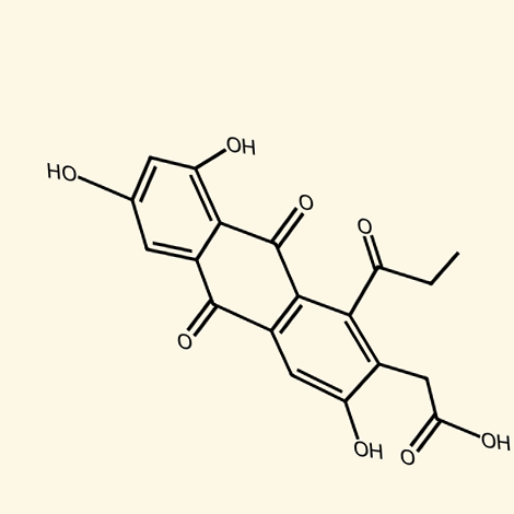 CCC(=O)c1c(CC(=O)O)c(O)cc2c1C(=O)c1c(O)cc(O)cc1C2=O